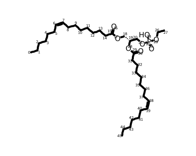 CCCCCC/C=C\CCCCCCCC(=O)OC[C@H](COP(=O)(O)OCC)OC(=O)CCCCCCC/C=C\CCCCCC